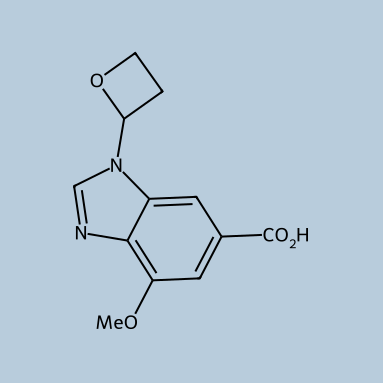 COc1cc(C(=O)O)cc2c1ncn2C1CCO1